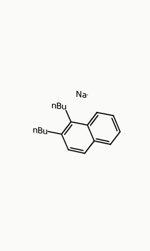 CCCCc1ccc2ccccc2c1CCCC.[Na]